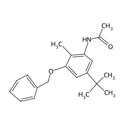 CC(=O)Nc1cc(C(C)(C)C)cc(OCc2ccccc2)c1C